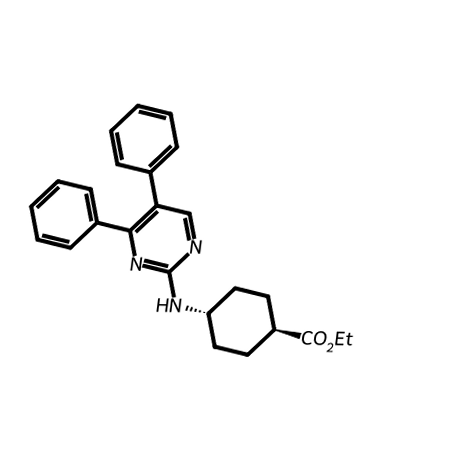 CCOC(=O)[C@H]1CC[C@H](Nc2ncc(-c3ccccc3)c(-c3ccccc3)n2)CC1